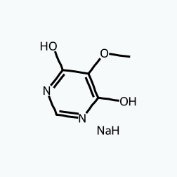 COc1c(O)ncnc1O.[NaH]